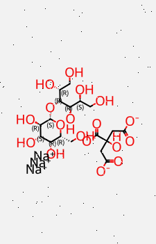 O=C([O-])CC(O)(CC(=O)[O-])C(=O)[O-].OC[C@@H](O)[C@@H](O[C@@H]1O[C@H](CO)[C@H](O)[C@H](O)[C@H]1O)[C@H](O)[C@@H](O)CO.[Na+].[Na+].[Na+]